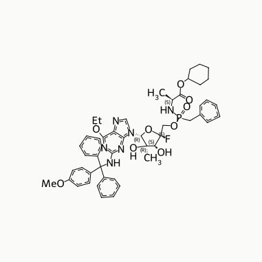 CCOc1nc(NC(c2ccccc2)(c2ccccc2)c2ccc(OC)cc2)nc2c1ncn2[C@@H]1O[C@](F)(COP(=O)(Cc2ccccc2)N[C@@H](C)C(=O)OC2CCCCC2)[C@@H](O)[C@@]1(C)O